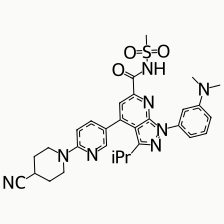 CC(C)c1nn(-c2cccc(N(C)C)c2)c2nc(C(=O)NS(C)(=O)=O)cc(-c3ccc(N4CCC(C#N)CC4)nc3)c12